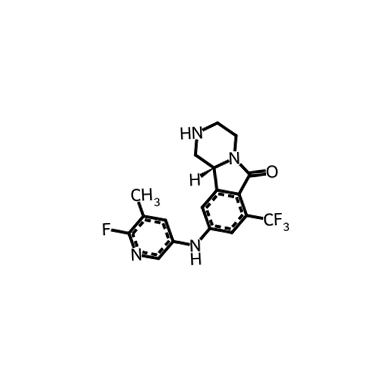 Cc1cc(Nc2cc3c(c(C(F)(F)F)c2)C(=O)N2CCNC[C@@H]32)cnc1F